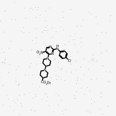 CCOC(=O)C1CCN(C2CCN(c3nc(Nc4ccc(Cl)cc4)ncc3[N+](=O)[O-])CC2)CC1